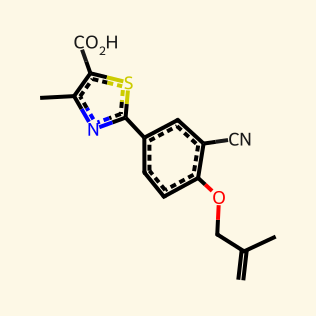 C=C(C)COc1ccc(-c2nc(C)c(C(=O)O)s2)cc1C#N